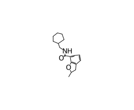 CC1Cc2cccc(C(=O)NCC3CCCCC3)c2O1